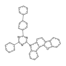 c1ccc(-c2ccc(-c3nc(-c4ccccc4)nc(-n4c5ccccc5c5c6oc7ccccc7c6ccc54)n3)cc2)cc1